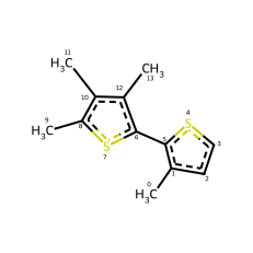 Cc1ccsc1-c1sc(C)c(C)c1C